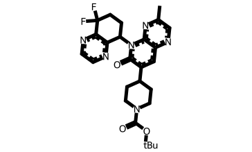 Cc1cnc2cc(C3CCN(C(=O)OC(C)(C)C)CC3)c(=O)n(C3CCC(F)(F)c4nccnc43)c2n1